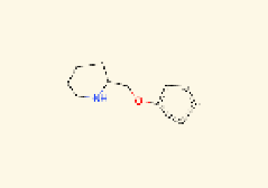 [c]1ccc(OCC2CCCCN2)cc1